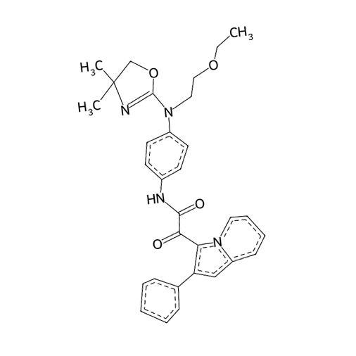 CCOCCN(C1=NC(C)(C)CO1)c1ccc(NC(=O)C(=O)c2c(-c3ccccc3)cc3ccccn23)cc1